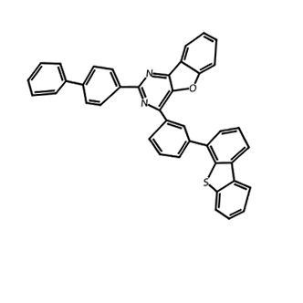 c1ccc(-c2ccc(-c3nc(-c4cccc(-c5cccc6c5sc5ccccc56)c4)c4oc5ccccc5c4n3)cc2)cc1